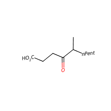 CCCCCC(C)C(=O)CCC(=O)O